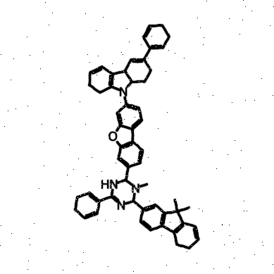 CN1C(c2ccc3c(c2)C(C)(C)C2=C3CCC=C2)N=C(C2=CCCC=C2)NC1c1ccc2c(c1)oc1cc(N3C4=C(C=CCC4)C4C=C(C5=CCCC=C5)CCC43)ccc12